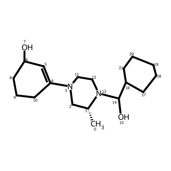 C[C@@H]1CN(C2=CC(O)CCC2)CCN1C(O)C1CCCCC1